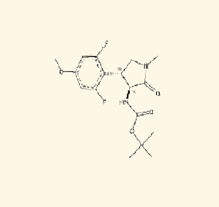 COc1cc(F)c([C@@H]2CN(C)C(=O)[C@H]2NC(=O)OC(C)(C)C)c(F)c1